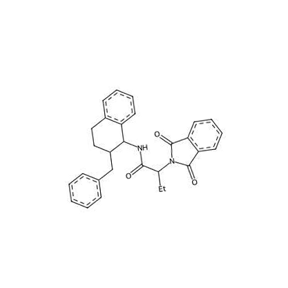 CCC(C(=O)NC1c2ccccc2CCC1Cc1ccccc1)N1C(=O)c2ccccc2C1=O